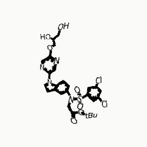 CC(C)(C)OC(=O)CN(c1ccc2c(ccn2-c2cnc(OCC(O)CO)cn2)c1)S(=O)(=O)c1cc(Cl)cc(Cl)c1